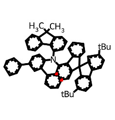 CC(C)(C)c1ccc2c(c1)C1(c3cc(C(C)(C)C)ccc3-2)c2ccccc2-c2c(N(c3ccc(-c4ccccc4)cc3-c3ccccc3)c3cccc4c3-c3ccccc3C4(C)C)cccc21